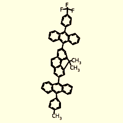 Cc1ccc(-c2c3ccccc3c(-c3cc4c5c(ccc6cc(-c7c8ccccc8c(-c8ccc(C(F)(F)F)cc8)c8ccccc78)cc(c65)C4(C)C)c3)c3ccccc23)cc1